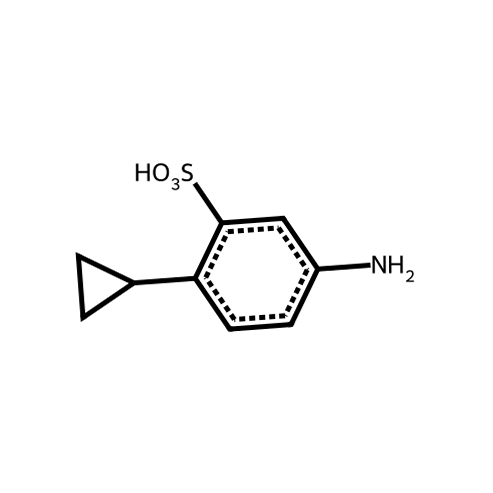 Nc1ccc(C2CC2)c(S(=O)(=O)O)c1